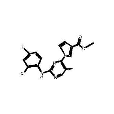 COC(=O)c1ccn(-c2nc(Nc3ccc(F)cc3Cl)ncc2C)c1